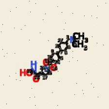 CN(C)Cc1ccc(-c2ccc(S(=O)(=O)N3CC=C(C(=O)NO)C3)cc2)cc1